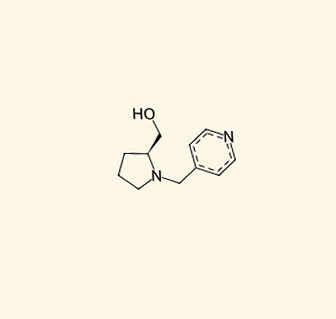 OC[C@@H]1CCCN1Cc1ccncc1